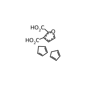 C1=CCC=C1.C1=CCC=C1.O=C(O)c1ccoc1C(=O)O